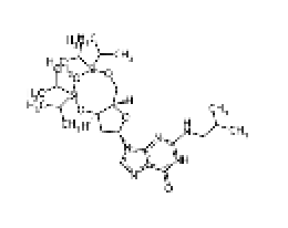 CC(C)CNc1nc2c(ncn2[C@H]2C[C@H]3O[Si](C(C)C)(C(C)C)O[Si](C(C)C)(C(C)C)OC[C@@H]3O2)c(=O)[nH]1